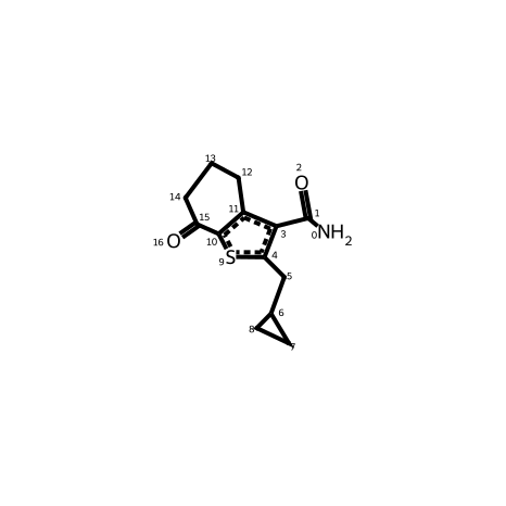 NC(=O)c1c(CC2CC2)sc2c1CCCC2=O